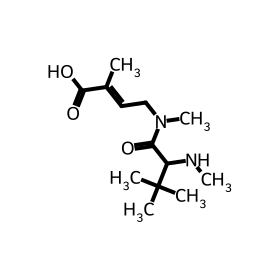 CNC(C(=O)N(C)C/C=C(\C)C(=O)O)C(C)(C)C